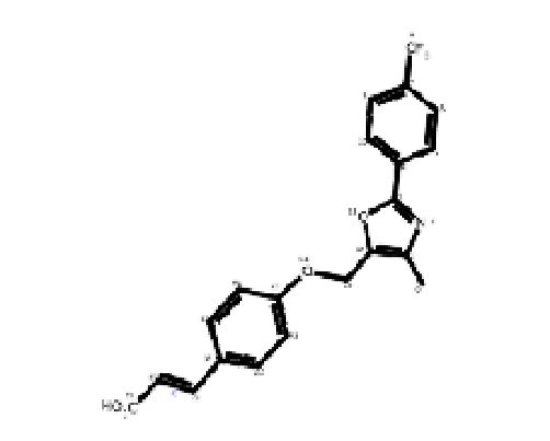 Cc1nc(-c2ccc(C(F)(F)F)cc2)oc1COc1ccc(/C=C/C(=O)O)cc1